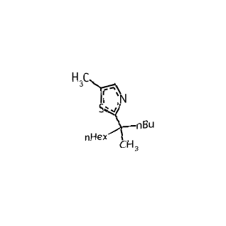 CCCCCCC(C)(CCCC)c1ncc(C)s1